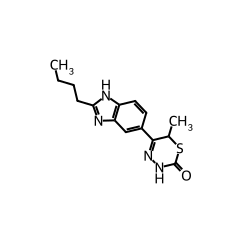 CCCCc1nc2cc(C3=NNC(=O)SC3C)ccc2[nH]1